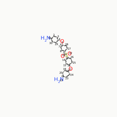 Nc1ccc(Oc2ccc(S(=O)(=O)c3ccc(OC4=CCC(N)C=C4)cc3)cc2)cc1